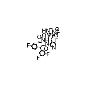 C=C(NC(=O)OC)[C@H](C(=O)Nc1cncc(F)c1CC[C@H]1CNCCN1S(C)(=O)=O)[C@@H](c1ccc(F)cc1)c1cc(F)cc(F)c1